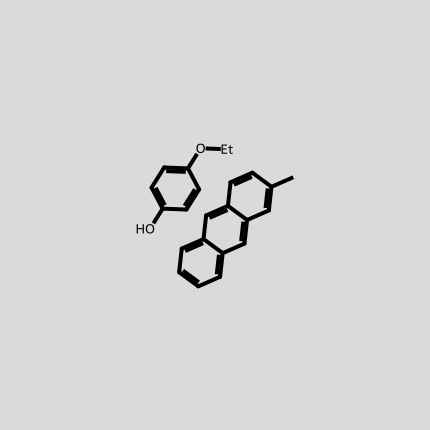 CCOc1ccc(O)cc1.Cc1ccc2cc3ccccc3cc2c1